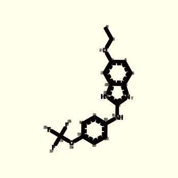 CCOc1ccc2nc(Nc3ccc(OC(F)(F)F)cc3)[nH]c2c1